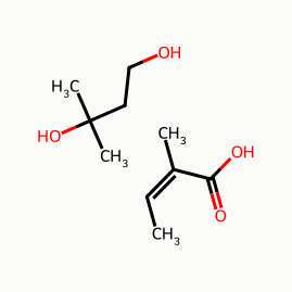 CC(C)(O)CCO.CC=C(C)C(=O)O